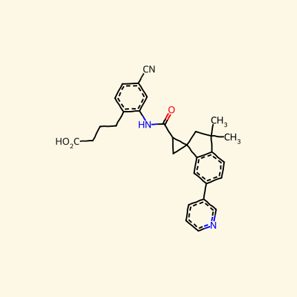 CC1(C)CC2(CC2C(=O)Nc2cc(C#N)ccc2CCCC(=O)O)c2cc(-c3cccnc3)ccc21